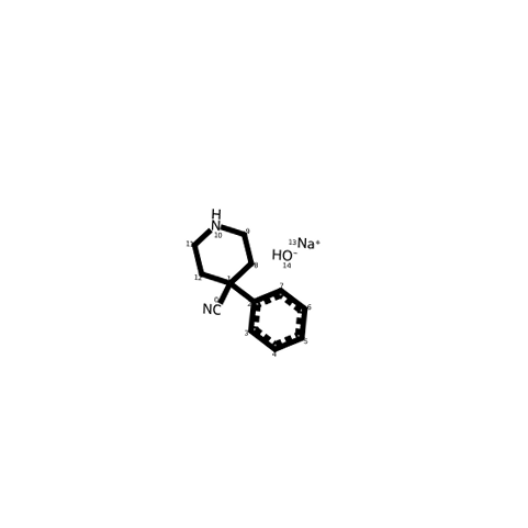 N#CC1(c2ccccc2)CCNCC1.[Na+].[OH-]